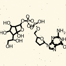 Nc1nc2c(ncn2[C@H]2CC[C@@H](COP(=O)(O)OP(=O)(O)OC3OC4(O)C3C(O)C(O)C4[C@@H](O)CO)O2)c(=O)[nH]1